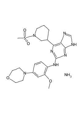 COc1cc(N2CCOCC2)ccc1Nc1nc(C2CCCN(S(C)(=O)=O)C2)c2nc[nH]c2n1.N